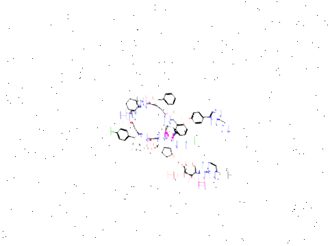 COC[C@@H]1NC(=O)[C@H](CCCNC2CCCC2OC[C@H]2OC[C@H](Nc3nccc(C(F)(F)F)n3)[C@@H](O)[C@H]2O)N(Cc2ccc(Cl)cc2Oc2ccc(-c3cnc(CN(C)C)n3C)cc2)C(=O)C[C@@H](Cc2ccccc2)C(=O)N(C)[C@H]2CCCC[C@@H]2NC(=O)C[C@H](Cc2ccc(Cl)cc2)N(C)C1=O